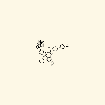 COc1ccc(C2CCN(C(=O)C34CC3c3cc(OC)ccc3-c3c(C5CCCCC5)c5ccc(C(=O)NS(=O)(=O)N(C)C)cc5n3C4)CC2)cc1